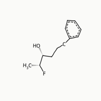 C[C@@H](F)[C@H](O)CCCc1ccccc1